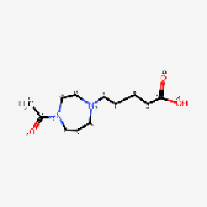 CC(=O)N1CCCN(CCCCC(=O)O)CC1